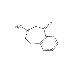 CN1CCc2ccccc2C(=O)C1